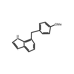 COc1ccc(Cc2cccc3[c]c[nH]c23)cc1